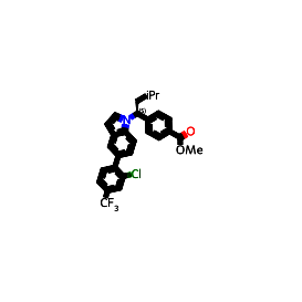 COC(=O)c1ccc([C@H](CC(C)C)n2ccc3cc(-c4ccc(C(F)(F)F)cc4Cl)ccc32)cc1